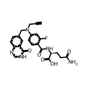 C#CCN(Cc1ccc2nc[nH]c(=O)c2c1)c1ccc(C(=O)N[C@@H](CCC(N)=O)C(=O)O)c(F)c1